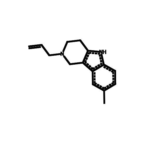 C=CCN1CCc2[nH]c3ccc(C)cc3c2C1